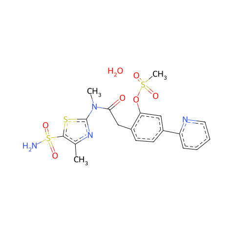 Cc1nc(N(C)C(=O)Cc2ccc(-c3ccccn3)cc2OS(C)(=O)=O)sc1S(N)(=O)=O.O